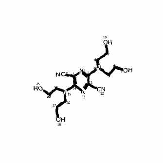 N#Cc1nc(N(CCO)CCO)c(C#N)nc1N(CCO)CCO